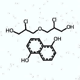 OCC(Cl)COCC(Cl)CO.Oc1cccc2c(O)cccc12